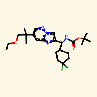 CCOCC(C)(C)c1cnn2cc([C@@H](NC(=O)OC(C)(C)C)C3CCC(F)(F)CC3)nc2c1